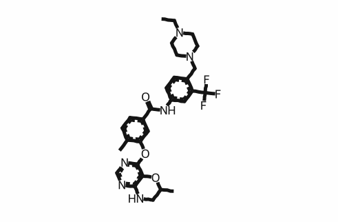 CCN1CCN(Cc2ccc(NC(=O)c3ccc(C)c(Oc4ncnc5c4OC(C)CN5)c3)cc2C(F)(F)F)CC1